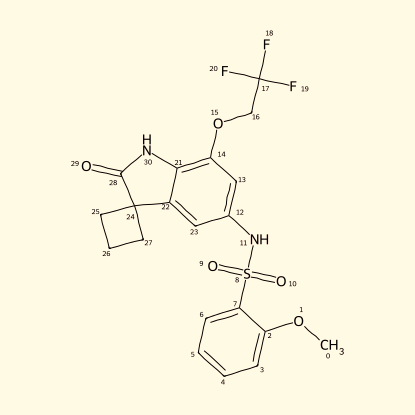 COc1ccccc1S(=O)(=O)Nc1cc(OCC(F)(F)F)c2c(c1)C1(CCC1)C(=O)N2